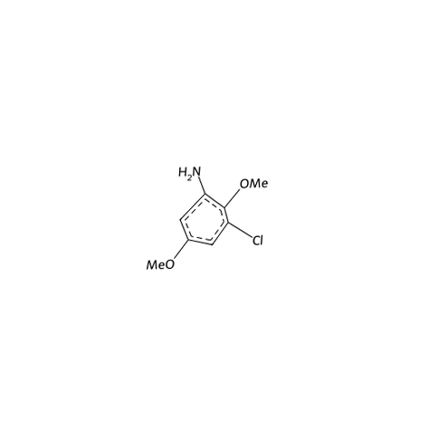 COc1cc(N)c(OC)c(Cl)c1